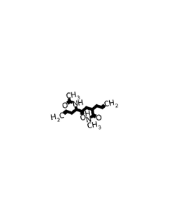 C=CCC(CC(=O)C(CC=C)NC(C)=O)C(=O)NC